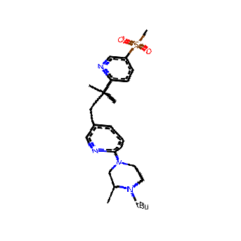 CC1CN(c2ccc(CC(C)(C)c3ccc(S(C)(=O)=O)cn3)cn2)CCN1C(C)(C)C